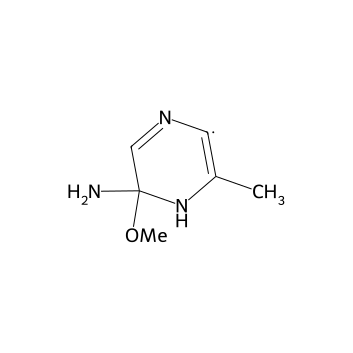 COC1(N)C=N[C]=C(C)N1